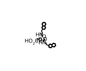 O=C(NCCc1ccc2ccccc2c1)[C@H]1CN(C(=O)O)C[C@@H]1C(=O)NCCc1ccc2ccccc2c1